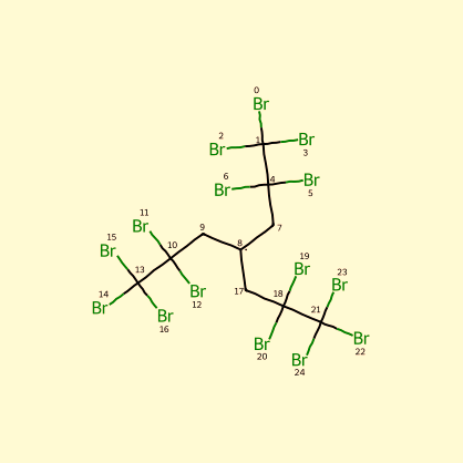 BrC(Br)(Br)C(Br)(Br)C[C](CC(Br)(Br)C(Br)(Br)Br)CC(Br)(Br)C(Br)(Br)Br